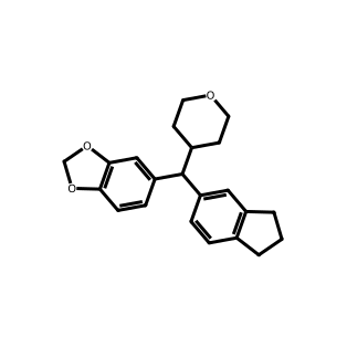 c1cc2c(cc1C(c1ccc3c(c1)OCO3)C1CCOCC1)CCC2